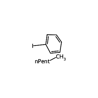 CCCCCC.Ic1ccccc1